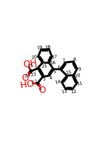 O=C(O)c1cc(-c2cccc3ccccc23)c2ccccc2c1C(=O)O